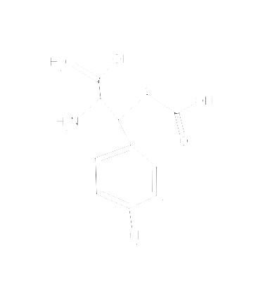 C=C(O)C(N)C(CC(=O)O)c1ccc(Cl)cc1